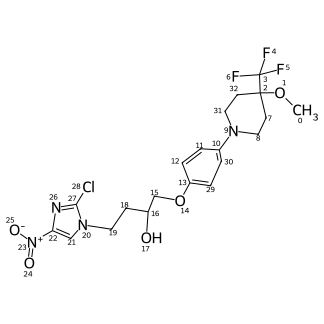 COC1(C(F)(F)F)CCN(c2ccc(OCC(O)CCn3cc([N+](=O)[O-])nc3Cl)cc2)CC1